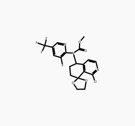 COC(=O)N(c1ncc(C(F)(F)F)cc1F)C1CCC2(OCCO2)c2c1ccnc2Cl